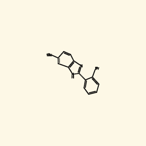 CC(C)c1ccccc1-c1nc2ccc(C(C)(C)C)cc2[nH]1